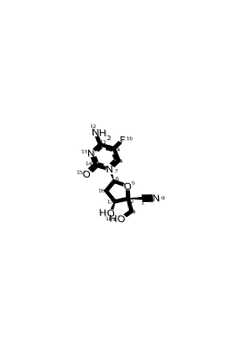 N#C[C@]1(CO)O[C@@H](n2cc(F)c(N)nc2=O)C[C@@H]1O